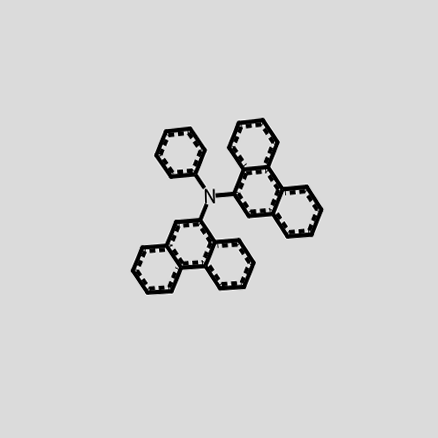 c1ccc(N(c2cc3ccccc3c3ccccc23)c2cc3ccccc3c3ccccc23)cc1